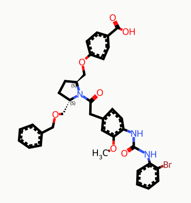 COc1cc(CC(=O)N2[C@H](COCc3ccccc3)CC[C@H]2COc2ccc(C(=O)O)cc2)ccc1NC(=O)Nc1ccccc1Br